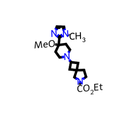 CCOC(=O)N1CCC2(CC(N3CCC(OC)(c4nccn4C)CC3)C2)C1